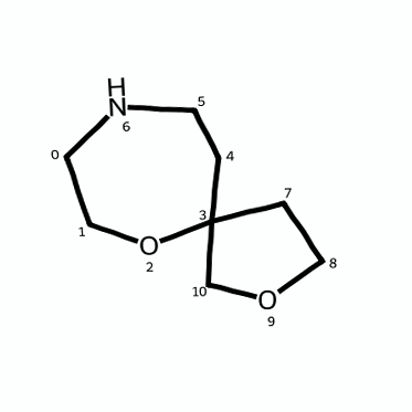 C1COC2(CCN1)CCOC2